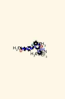 C=CC(=O)N1CC(N2CCN(CCN3CC[C@H](Nc4nc(C)cc(C(F)(F)F)c4C#N)C(=O)N(C)c4cccc(F)c43)CC2)C1